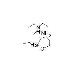 CCC[SiH]1CCCCO1.CCN.CCNCC